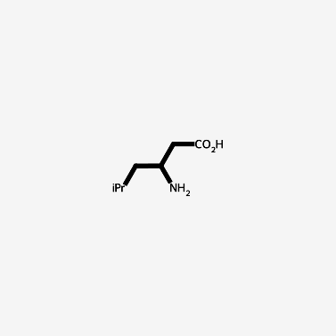 CC(C)CC(N)CC(=O)O